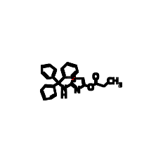 CCC(=O)Oc1csc(NC(c2ccccc2)(c2ccccc2)c2ccccc2)n1